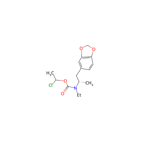 CCN(C(=O)OC(C)Cl)[C@@H](C)Cc1ccc2c(c1)OCO2